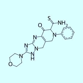 NC(=S)C1C(=O)C2=C(CN3NC(N4CCOCC4)=NC3=N2)CN1c1ccccc1